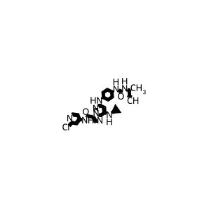 C#CC(C)NC(=O)N[C@H]1CC[C@H](Nc2cc(NC3CC3)c3ncc(C(=O)Nc4ccnc(Cl)c4)n3n2)CC1